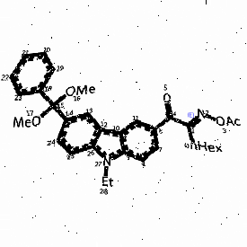 CCCCCC/C(=N\OC(C)=O)C(=O)c1ccc2c(c1)c1cc(C(OC)(OC)c3ccccc3)ccc1n2CC